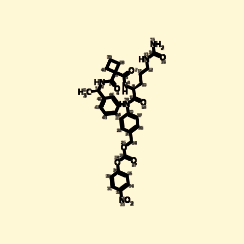 C[C@@H](NC(=O)C1(C(=O)N[C@@H](CCCNC(N)=O)C(=O)Nc2ccc(COC(=O)Oc3ccc([N+](=O)[O-])cc3)cc2)CCC1)c1ccccc1